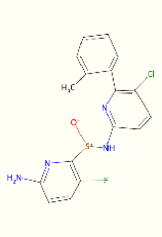 Cc1ccccc1-c1nc(N[S+]([O-])c2nc(N)ccc2F)ccc1Cl